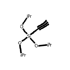 C#C[Si](OC(C)C)(OC(C)C)OC(C)C